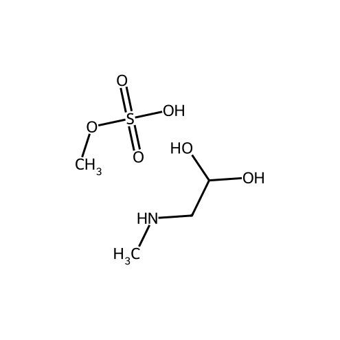 CNCC(O)O.COS(=O)(=O)O